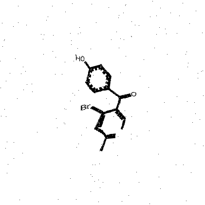 C=C(C)/C=C(Br)\C(=C/C)C(=O)c1ccc(O)cc1